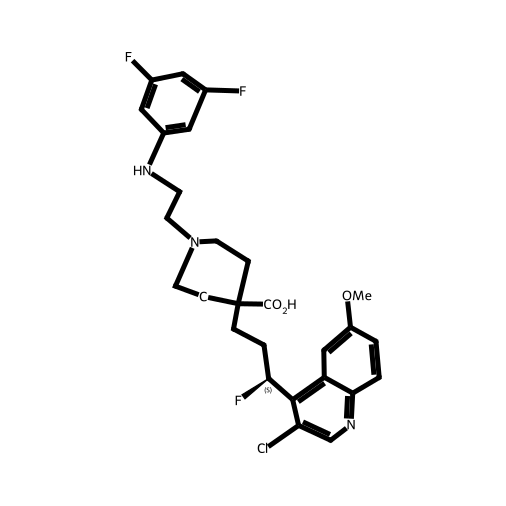 COc1ccc2ncc(Cl)c([C@@H](F)CCC3(C(=O)O)CCN(CCNc4cc(F)cc(F)c4)CC3)c2c1